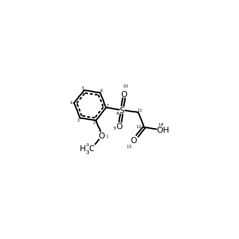 COc1ccccc1S(=O)(=O)CC(=O)O